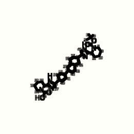 CC(C)(C)OC(=O)N1CCCCC1c1nc(-c2ccc3cc(-c4ccc(-c5cnc(C6CCCCN6C(=O)O)[nH]5)cc4)ccc3c2)c[nH]1